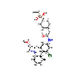 CCS(=O)(=O)c1ccc(CC(=O)Nc2ccc(-c3ccccc3N3CC(OC)C3)c(Cl)c2)cc1